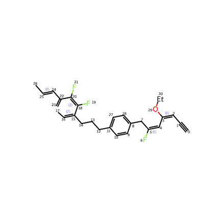 C#C/C=C(\C=C(\F)Cc1ccc(CCCC(=C/C)/C(F)=C(/F)C(=C)/C=C/C)cc1)OCC